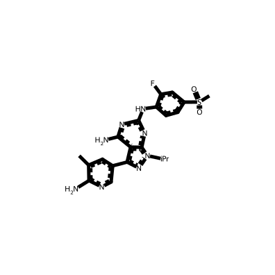 Cc1cc(-c2nn(C(C)C)c3nc(Nc4ccc(S(C)(=O)=O)cc4F)nc(N)c23)cnc1N